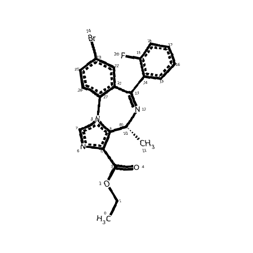 CCOC(=O)c1ncn2c1[C@@H](C)N=C(c1ccccc1F)c1cc(Br)ccc1-2